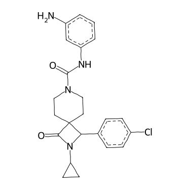 Nc1cccc(NC(=O)N2CCC3(CC2)C(=O)N(C2CC2)C3c2ccc(Cl)cc2)c1